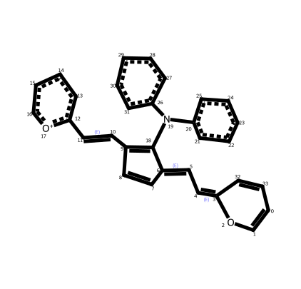 C1=CO/C(=C/C=C2\C=CC(/C=C/c3cccc[o+]3)=C2N(c2ccccc2)c2ccccc2)C=C1